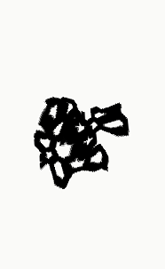 c1ccc(-c2cccc(-n3c4ccccc4c4ccc5sc6ccc7c8ccccc8n(-c8nc(-c9ccccc9)nc(-c9ccccc9)n8)c7c6c5c43)c2)cc1